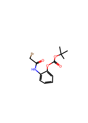 CC(C)(C)OC(=O)Oc1ccccc1NC(=O)CBr